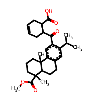 COC(=O)C1(C)CCCC2(C)c3cc(C(=O)C4CC=CCC4C(=O)O)c(C(C)C)cc3CCC12